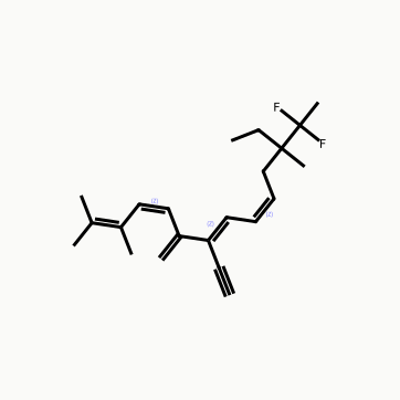 C#C/C(=C\C=C/CC(C)(CC)C(C)(F)F)C(=C)/C=C\C(C)=C(C)C